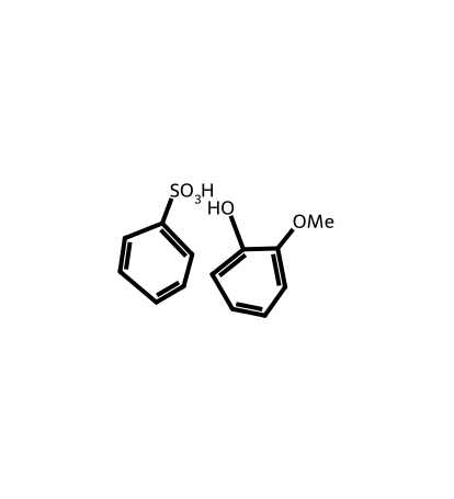 COc1ccccc1O.O=S(=O)(O)c1ccccc1